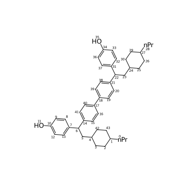 CCCC1CCC(CC(c2ccc(O)cc2)c2ccc(-c3ccc(C(CC4CCC(CCC)CC4)c4ccc(O)cc4)cc3)cc2)CC1